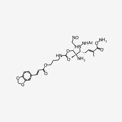 CC(=O)NN[C@H](C/C=C(\C)C(=O)ON)[C@](C)(N)[C@@H](CCN=O)OC(=O)NCCCOC(=O)/C=C/c1ccc2c(c1)OCO2